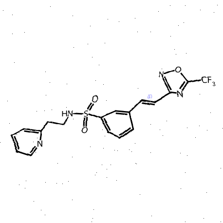 O=S(=O)(NCCc1ccccn1)c1cccc(/C=C/c2noc(C(F)(F)F)n2)c1